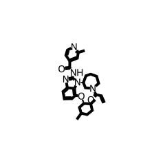 C=CC(=O)N1CCCC[C@@H](n2c(NC(=O)c3ccnc(C)c3)nc3cccc(O[C@@H]4CC(C)CCC4C)c32)C1